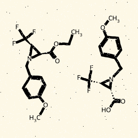 CCOC(=O)[C@@H]1[C@H](C(F)(F)F)N1Cc1ccc(OC)cc1.COc1ccc(CN2[C@H](C(=O)O)[C@@H]2C(F)(F)F)cc1